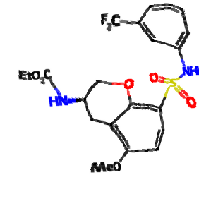 CCOC(=O)N[C@H]1COc2c(S(=O)(=O)Nc3cccc(C(F)(F)F)c3)ccc(OC)c2C1